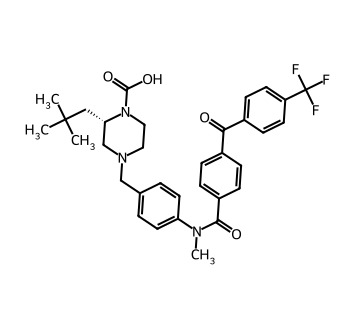 CN(C(=O)c1ccc(C(=O)c2ccc(C(F)(F)F)cc2)cc1)c1ccc(CN2CCN(C(=O)O)[C@@H](CC(C)(C)C)C2)cc1